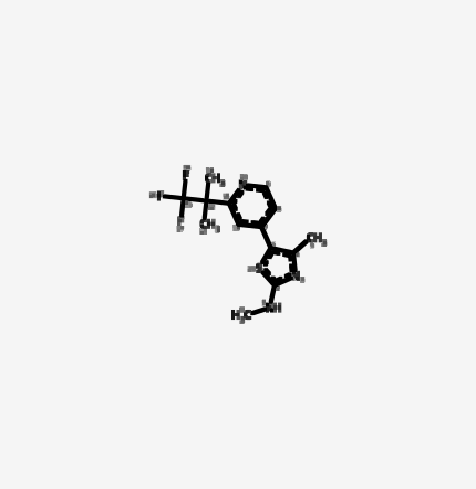 CNc1nc(C)c(-c2ccnc(C(C)(C)C(F)(F)F)c2)s1